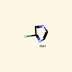 Clc1cnccn1.[NaH]